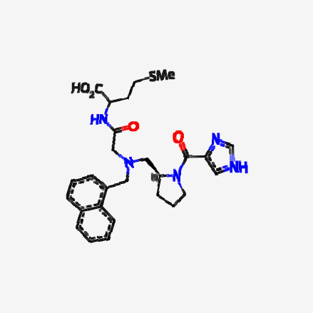 CSCCC(NC(=O)CN(Cc1cccc2ccccc12)C[C@@H]1CCCN1C(=O)c1c[nH]cn1)C(=O)O